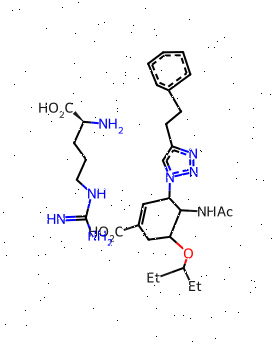 CCC(CC)OC1CC(C(=O)O)=CC(n2cc(CCc3ccccc3)nn2)C1NC(C)=O.N=C(N)NCCC[C@H](N)C(=O)O